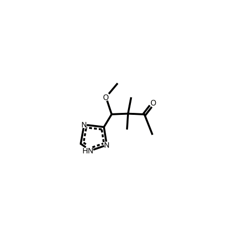 COC(c1nc[nH]n1)C(C)(C)C(C)=O